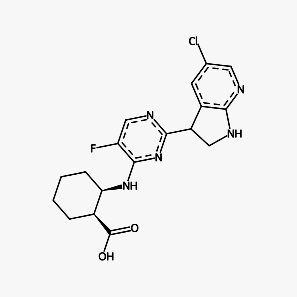 O=C(O)[C@H]1CCCC[C@H]1Nc1nc(C2CNc3ncc(Cl)cc32)ncc1F